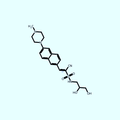 CN1CCN(c2ccc3cc(/C=C(\C#N)S(=O)(=O)NCC(O)CO)ccc3c2)CC1